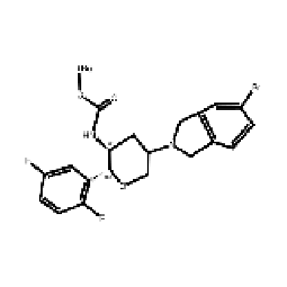 CC(C)(C)OC(=O)N[C@H]1CC(N2Cc3ccc(Br)cc3C2)CO[C@@H]1c1cc(F)ccc1F